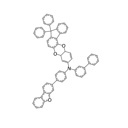 C1=CC2Oc3c(ccc4c3-c3ccccc3C4(c3ccccc3)c3ccccc3)OC2C=C1N(c1ccc(-c2ccc3c(c2)oc2ccccc23)cc1)c1cccc(-c2ccccc2)c1